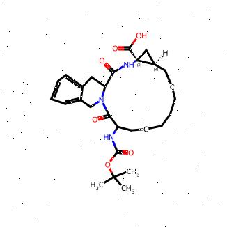 CC(C)(C)OC(=O)NC1CCCCCCC[C@@H]2C[C@@]2(C(=O)O)NC(=O)C2Cc3ccccc3CN2C1=O